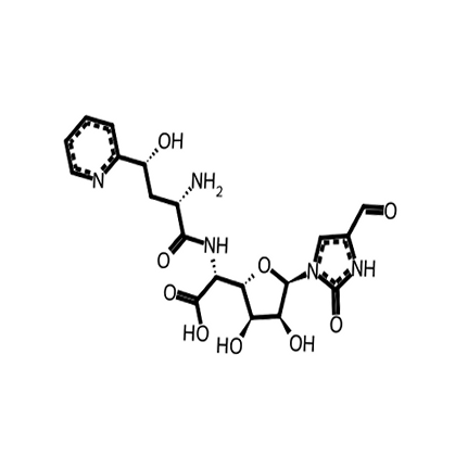 N[C@@H](C[C@@H](O)c1ccccn1)C(=O)N[C@@H](C(=O)O)[C@@H]1O[C@@H](n2cc(C=O)[nH]c2=O)[C@@H](O)[C@H]1O